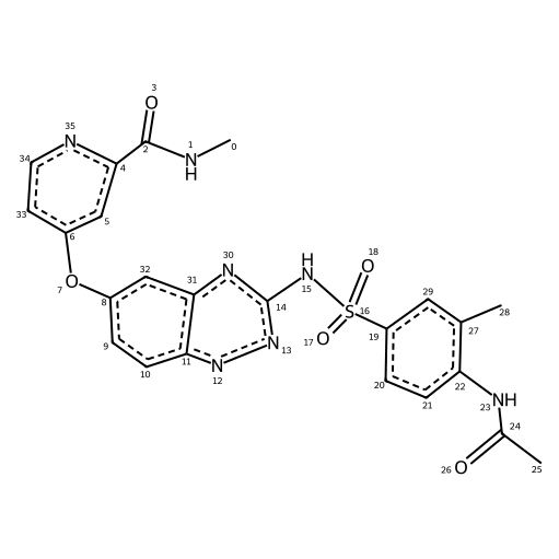 CNC(=O)c1cc(Oc2ccc3nnc(NS(=O)(=O)c4ccc(NC(C)=O)c(C)c4)nc3c2)ccn1